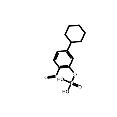 O=Ic1ccc(C2CCCCC2)cc1OP(=O)(O)O